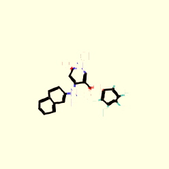 Cn1cc(C(=O)Oc2c(F)c(F)c(F)c(F)c2F)c(Nc2ccc3ccccc3c2)cc1=O